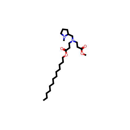 CCCCCCCCCCCCCOC(=O)CCN(CCC(=O)OC)CC1CCCN1C